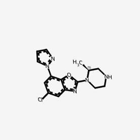 C[C@H]1CNCCN1c1nc2cc(Cl)cc(-n3cccn3)c2o1